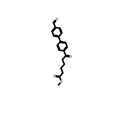 COC(=O)CCCCC(=O)c1ccc(-c2ccc(C=O)cc2)cc1